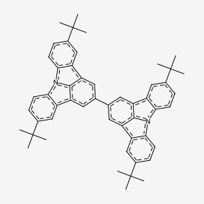 CC(C)(C)c1ccc2c(c1)c1cc(-c3cc4c5cc(C(C)(C)C)ccc5n5c6ccc(C(C)(C)C)cc6c(c3)c45)cc3c4cc(C(C)(C)C)ccc4n2c13